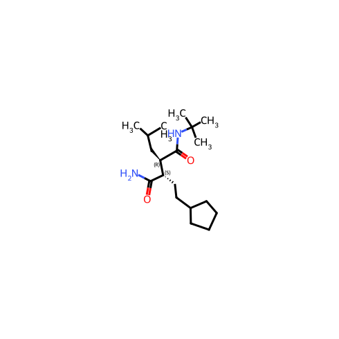 CC(C)C[C@@H](C(=O)NC(C)(C)C)[C@H](CCC1CCCC1)C(N)=O